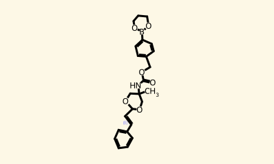 CC1(NC(=O)OCc2ccc(B3OCCCO3)cc2)COC(/C=C/c2ccccc2)OC1